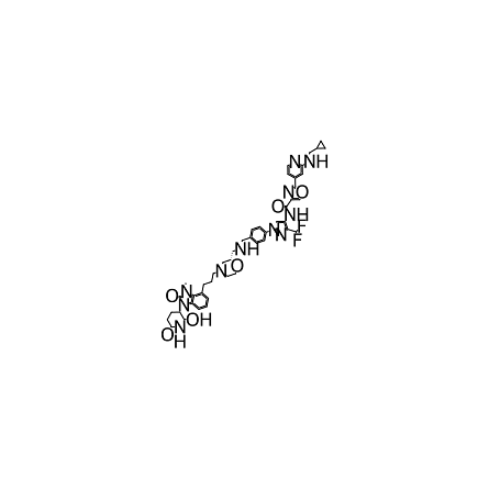 Cn1c(=O)n(C2CCC(=O)NC2O)c2cccc(CCCN3CCO[C@@H](CNCc4ccc(-n5cc(NC(=O)c6coc(-c7ccnc(NCC8CC8)c7)n6)c(C(F)F)n5)cc4)C3)c21